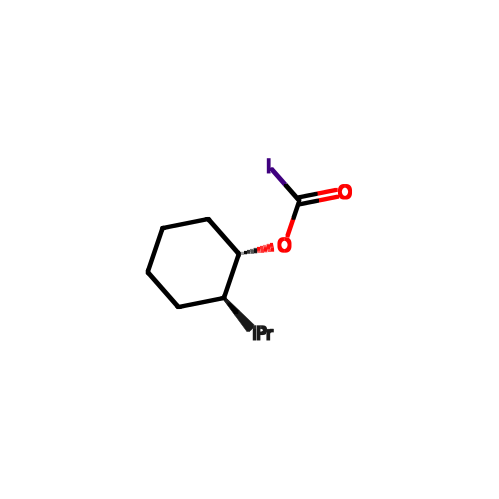 CC(C)[C@H]1CCCC[C@@H]1OC(=O)I